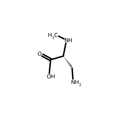 CN[C@H](CN)C(=O)O